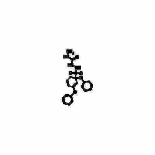 NNC(=O)NNS(=O)(=O)C1(Oc2ccccc2)C=C(Oc2ccccc2)C=CC1